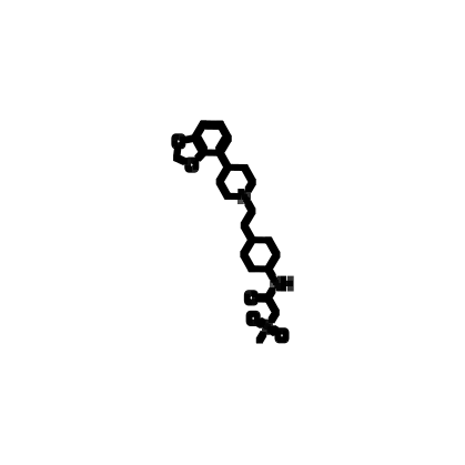 CS(=O)(=O)CC(=O)NC1CCC(CCN2CCC(c3cccc4c3OCO4)CC2)CC1